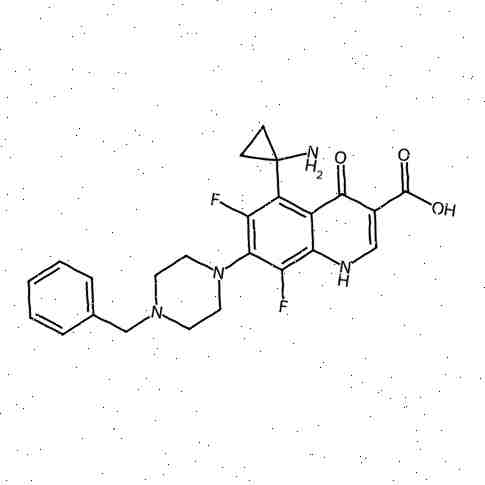 NC1(c2c(F)c(N3CCN(Cc4ccccc4)CC3)c(F)c3[nH]cc(C(=O)O)c(=O)c23)CC1